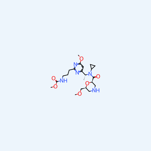 COC[C@@H]1CNC[C@H](C(=O)N(C2CC2)[C@H](C)c2cc(OC)nc(CCCNC(=O)OC)n2)O1